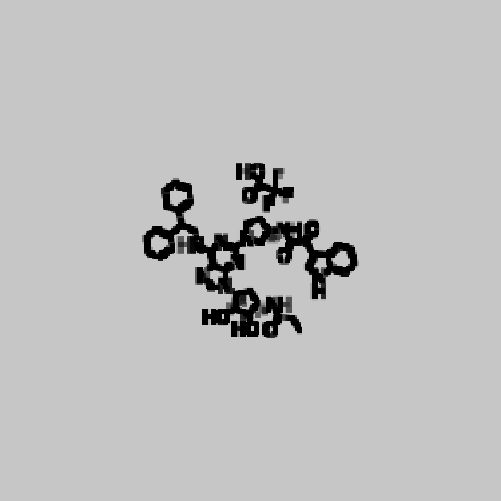 CCC(=O)N[C@H]1C[C@@H](n2cnc3c(NCC(c4ccccc4)c4ccccc4)nc(N4CC[C@@H](NC(=O)C(=O)c5c[nH]c6ccccc56)C4)nc32)[C@H](O)[C@@H]1O.O=C(O)C(F)(F)F